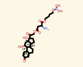 C[C@]12C=CC(=O)C=C1CC[C@@H]1[C@@H]2[C@@H](O)C[C@@]2(C)[C@H]1CC[C@]2(O)C(=O)COC(=O)CC(N)C(=O)OCCCCON(O)O